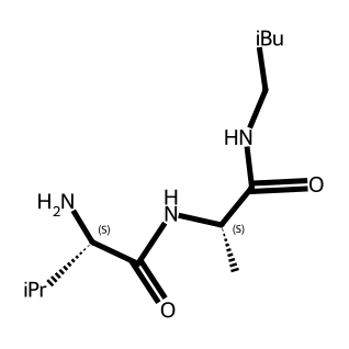 CCC(C)CNC(=O)[C@H](C)NC(=O)[C@@H](N)C(C)C